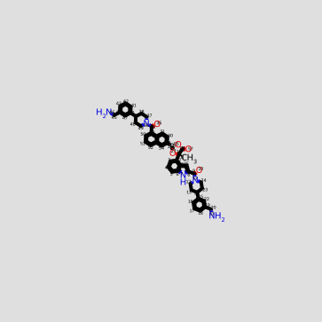 C[C@@]1(c2cccc3[nH]c(C(=O)N4CCC(c5cccc(CN)c5)CC4)cc23)OB(c2ccc3c(C(=O)N4CCC(c5cccc(CN)c5)CC4)cccc3c2)OC1=O